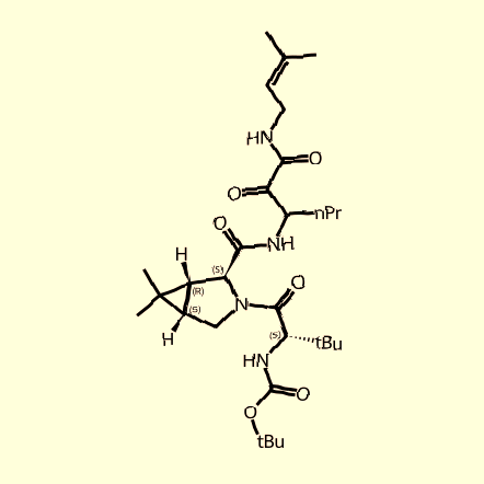 CCCC(NC(=O)[C@@H]1[C@@H]2[C@H](CN1C(=O)[C@@H](NC(=O)OC(C)(C)C)C(C)(C)C)C2(C)C)C(=O)C(=O)NCC=C(C)C